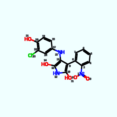 O=[N+]([O-])c1ccccc1-c1c(O)[nH]c(O)c1Nc1ccc(O)c(Cl)c1